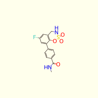 CNC(=O)c1ccc(-c2cc(F)cc3c2OS(=O)(=O)NC3)cc1